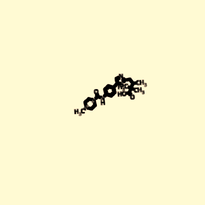 CC(Cc1ncc(-c2ccc(NC(=O)N3CCN(C)CC3)cc2)s1)C(C)(C)C(=O)O